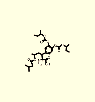 CCC(C)OC(=O)Oc1ccc(C(CC(C)OC(=O)CC(C)C)[C@H](N)C(=O)O)cc1OC(=O)OC(C)CC